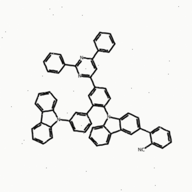 N#Cc1ccccc1-c1ccc2c(c1)c1ccccc1n2-c1ccc(-c2cc(-c3ccccc3)nc(-c3ccccc3)n2)cc1-c1cccc(-n2c3ccccc3c3ccccc32)c1